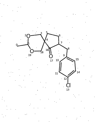 CC1OCC2(CCC(Cc3ccc(Cl)cc3)C2=O)CO1